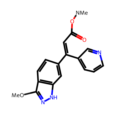 CNOC(=O)/C=C(\c1cccnc1)c1ccc2c(OC)n[nH]c2c1